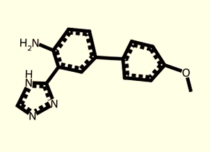 COc1ccc(-c2ccc(N)c(-c3nnc[nH]3)c2)cc1